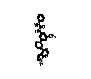 O=C(Nc1ccccc1)Nc1cc(C2CCCN(c3ncnc4[nH]ccc34)C2)cc(C(F)(F)F)c1